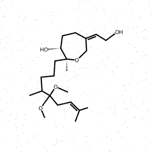 COC(CC=C(C)C)(OC)C(C)CCC[C@]1(C)OCC(=CCO)CC[C@H]1O